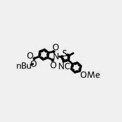 CCCCOC(=O)c1ccc2c(c1)C(=O)N(c1sc(C)c(-c3ccc(OC)cc3)c1C#N)C2=O